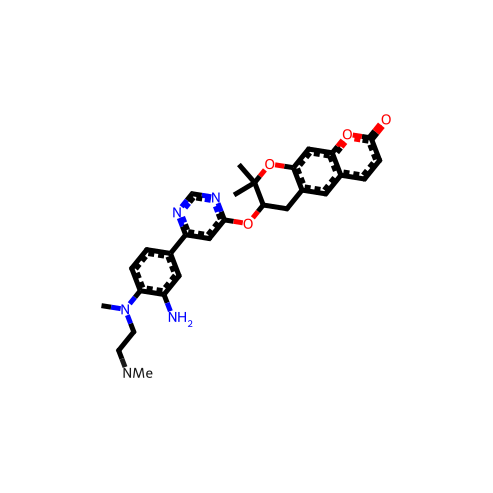 CNCCN(C)c1ccc(-c2cc(OC3Cc4cc5ccc(=O)oc5cc4OC3(C)C)ncn2)cc1N